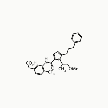 COCC(C)n1c(CCCc2ccccc2)ccc1C(=O)Nc1cc(CC(=O)O)ccc1C(F)(F)F